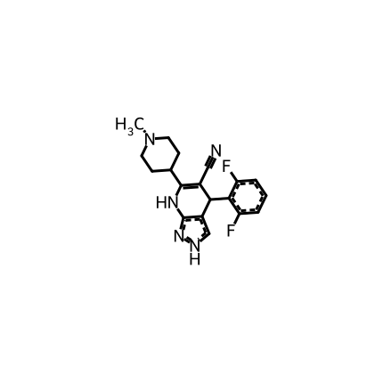 CN1CCC(C2=C(C#N)C(c3c(F)cccc3F)c3c[nH]nc3N2)CC1